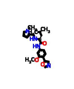 COc1cc(NC(=O)[C@@H](CC(C)C)NCc2cccn2C)ccc1-c1cnco1